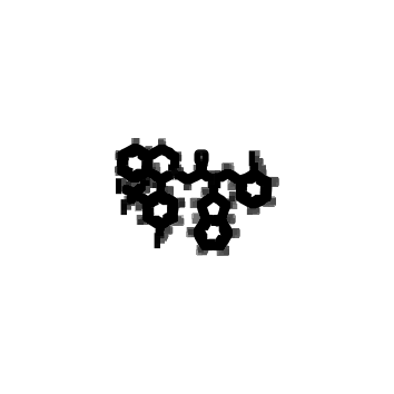 O=C(CN1CCc2ccccc2C1c1ccc(F)cc1C(F)(F)F)N(Cc1ccccc1F)C1Cc2ccccc2C1